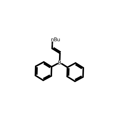 CCCCC=CB(c1ccccc1)c1ccccc1